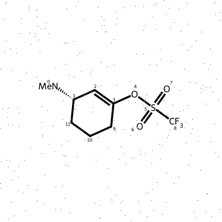 CN[C@@H]1C=C(OS(=O)(=O)C(F)(F)F)CCC1